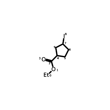 CCOC(=O)C1CCC(I)C1